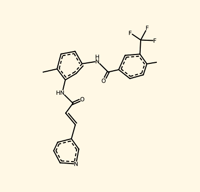 Cc1ccc(NC(=O)c2ccc(C)c(C(F)(F)F)c2)cc1NC(=O)C=Cc1cccnc1